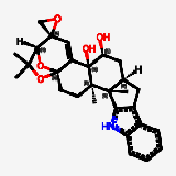 CC1(C)O[C@@]23CC[C@]4(C)[C@@]5(C)c6[nH]c7ccccc7c6C[C@@H]5C[C@H](O)[C@@]4(O)C2=C[C@]2(CO2)[C@@H]1O3